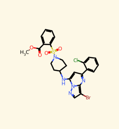 COC(=O)c1ccccc1S(=O)(=O)N1CCC(Nc2cc(-c3ccccc3Cl)nc3c(Br)cnn23)CC1